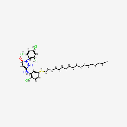 CCCCCCCCCCCCCCCCCCSc1ccc(Cl)c(Nc2cc(=O)n(-c3c(Cl)cc(Cl)cc3Cl)[nH]2)c1